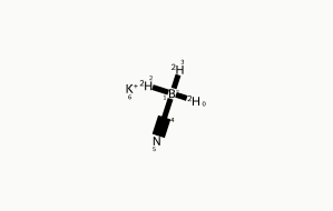 [2H][B-]([2H])([2H])C#N.[K+]